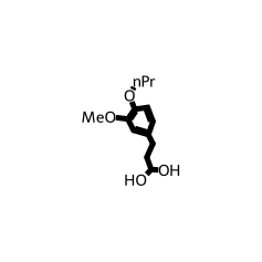 CCCOc1ccc(CCC(O)O)cc1OC